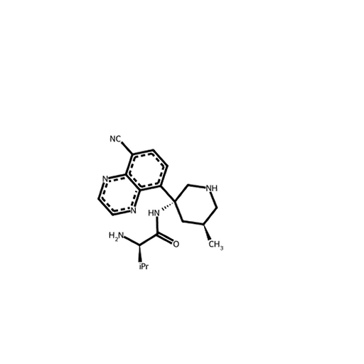 CC(C)[C@@H](N)C(=O)N[C@]1(c2ccc(C#N)c3nccnc23)CNC[C@@H](C)C1